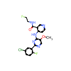 COc1cnc(-c2cc(Cl)ccc2F)nc1Nc1ccncc1C(=O)NCCF